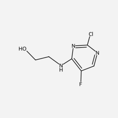 OCCNc1nc(Cl)ncc1F